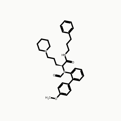 COc1ccc(-c2ccccc2N(C=O)[C@@H](CCCN2CCCCC2)C(=O)NCCCc2ccccc2)cc1